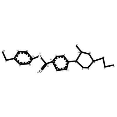 CCCC1CCC(c2ccc(C(=O)Oc3ccc(CC)cc3)cc2)C(C)C1